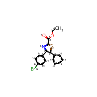 CCOC(=O)c1nc(-c2ccc(Br)cc2)c(-c2ccccc2)s1